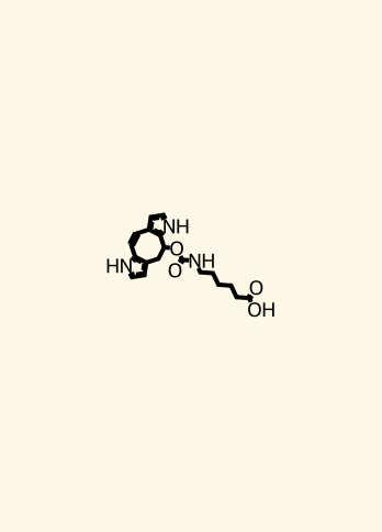 O=C(O)CCCCCNC(=O)OC1Cc2cc[nH]c2C#Cc2cc[nH]c21